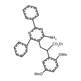 CCOC(=O)C(Cc1c(N)nc(-c2ccccc2)nc1-c1ccccc1)c1cc(OC)ccc1OC